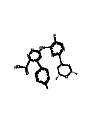 Cc1ccc(-c2cc(Nc3nc(N4C[C@@H](C)O[C@@H](C)C4)ncc3F)nnc2C(=O)O)cc1